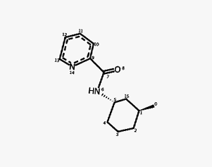 C[C@H]1CCC[C@H](NC(=O)c2ccccn2)C1